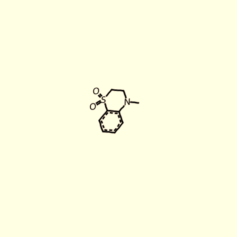 CN1CCS(=O)(=O)c2ccccc21